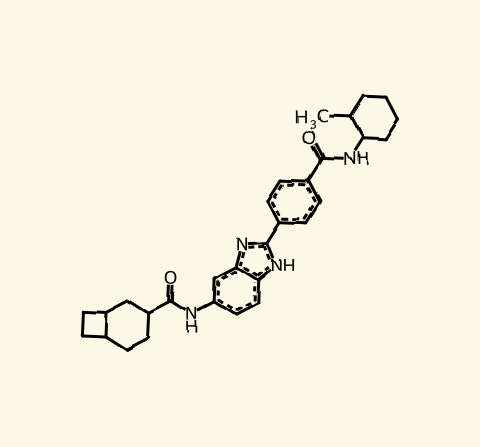 CC1CCCCC1NC(=O)c1ccc(-c2nc3cc(NC(=O)C4CCC5CCC5C4)ccc3[nH]2)cc1